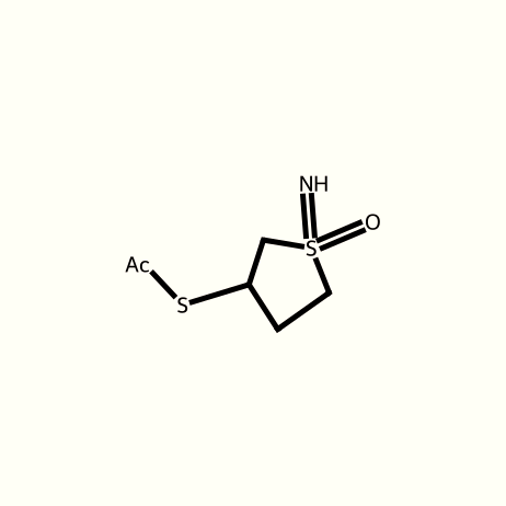 CC(=O)SC1CCS(=N)(=O)C1